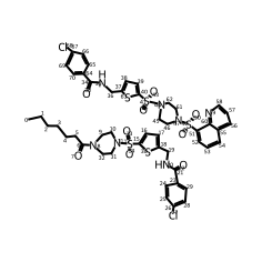 CCCCCCC(=O)N1CCN(S(=O)(=O)c2ccc(CNC(=O)c3ccc(Cl)cc3)s2)CC1.O=C(NCc1ccc(S(=O)(=O)N2CCN(S(=O)(=O)c3cccc4cccnc34)CC2)s1)c1ccc(Cl)cc1